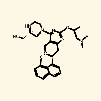 CC(CN(C)C)Oc1nc2c(c(N3CCN[C@@H](CC#N)C3)n1)CO[C@H](c1cccc3cccc(Cl)c13)C2